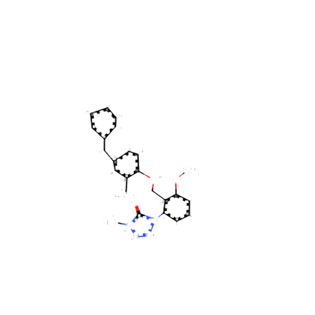 COc1cccc(-n2nnn(C)c2=O)c1COc1ccc(Cc2ccccc2)cc1C